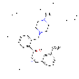 CN1CCN(Cc2ccccc2C(=O)/C=C\c2cccc(C(=O)O)c2)CC1